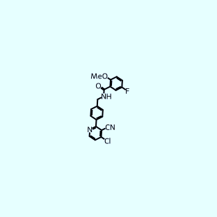 COc1ccc(F)cc1C(=O)NCc1ccc(-c2nccc(Cl)c2C#N)cc1